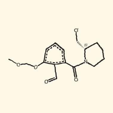 COCOc1cccc(C(=O)N2CCCC[C@H]2CCl)c1C=O